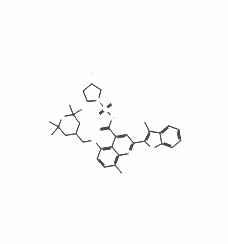 Cc1c(-c2cc(C(=O)NS(=O)(=O)N3CC[C@H](N)C3)c3c(OCC4CC(C)(C)OC(C)(C)C4)ccc(C)c3n2)oc2ccccc12